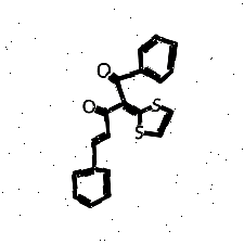 O=C(C=Cc1ccccc1)C(C(=O)c1ccccc1)=C1SC=CS1